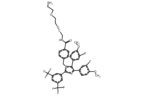 COc1ccc(-c2nc(-c3cc(C(F)(F)F)cc(C(F)(F)F)c3)n(Cc3ccc(C(=O)NCCOCCOCCN)cc3)c2-c2ccc(OC)c(F)c2)cc1F